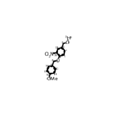 [2H]OCc1ccc(OCc2ccc(OC)cc2)c([N+](=O)[O-])c1